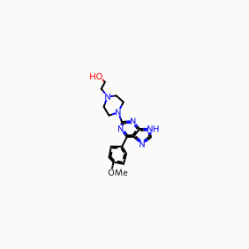 COc1ccc(-c2nc(N3CCN(CCO)CC3)nc3[nH]cnc23)cc1